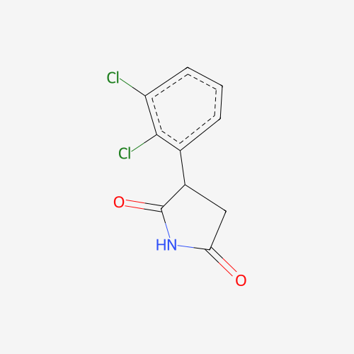 O=C1CC(c2cccc(Cl)c2Cl)C(=O)N1